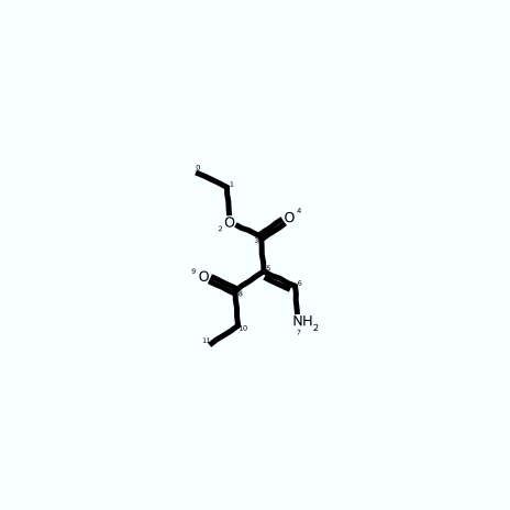 CCOC(=O)C(=CN)C(=O)CC